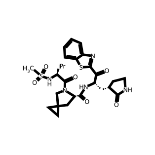 CC(C)[C@H](NS(C)(=O)=O)C(=O)N1CC2(CC2)C[C@H]1C(=O)N[C@@H](C[C@@H]1CCNC1=O)C(=O)c1nc2ccccc2s1